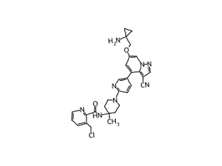 CC1(NC(=O)c2ncccc2CCl)CCN(c2ccc(-c3cc(OCC4(N)CC4)cn4ncc(C#N)c34)cn2)CC1